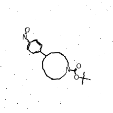 CC(C)(C)OC(=O)N1CCCCCCC(c2ccc(N=O)cc2)CCCC1